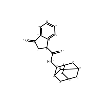 O=C1CC(C(=O)NC2C3CC4CC(C3)CC2C4)c2ccccc21